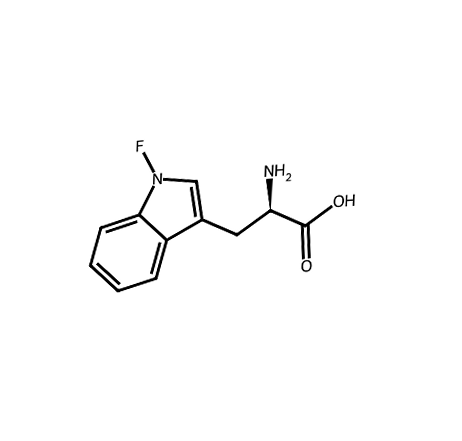 N[C@H](Cc1cn(F)c2ccccc12)C(=O)O